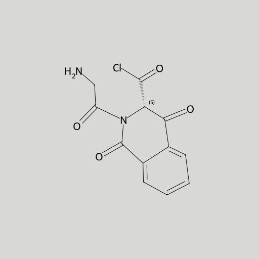 NCC(=O)N1C(=O)c2ccccc2C(=O)[C@H]1C(=O)Cl